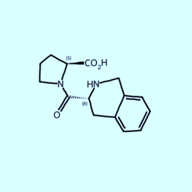 O=C(O)[C@@H]1CCCN1C(=O)[C@H]1Cc2ccccc2CN1